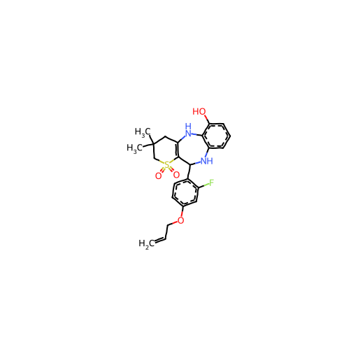 C=CCOc1ccc(C2Nc3cccc(O)c3NC3=C2S(=O)(=O)CC(C)(C)C3)c(F)c1